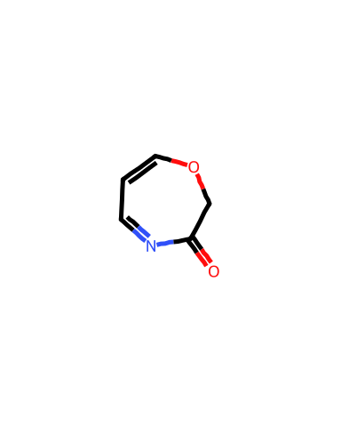 O=C1COC=CC=N1